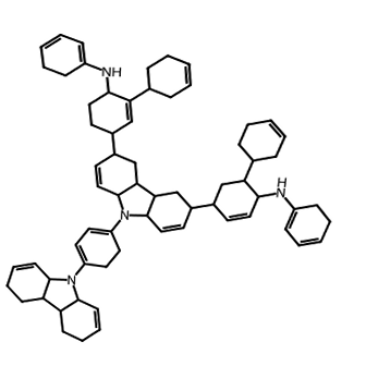 C1=CCCC(NC2CCC(C3C=CC4C(C3)C3CC(C5C=CC(NC6=CC=CCC6)C(C6CC=CCC6)C5)C=CC3N4C3=CC=C(N4C5C=CCCC5C5CCC=CC54)CC3)C=C2C2CC=CCC2)=C1